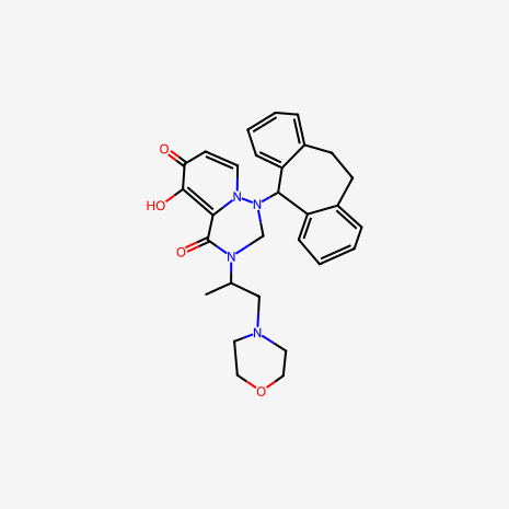 CC(CN1CCOCC1)N1CN(C2c3ccccc3CCc3ccccc32)n2ccc(=O)c(O)c2C1=O